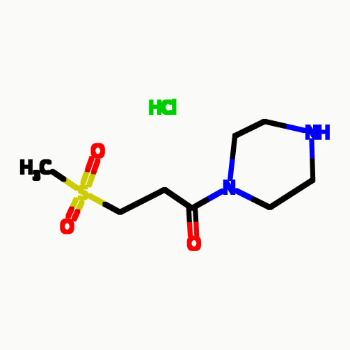 CS(=O)(=O)CCC(=O)N1CCNCC1.Cl